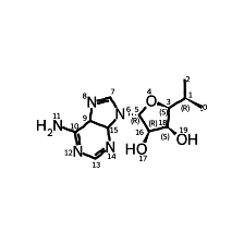 [CH2][C@H](C)[C@@H]1O[C@@H](N2C=NC3C(N)=NC=NC32)[C@H](O)[C@@H]1O